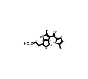 Cc1ccc(C(=O)c2c(C)sc3c2CCC3CCC(=O)O)s1